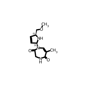 COC[C@@H]1C=C[C@H](N2C=C(C)C(=O)NCC2=O)N1